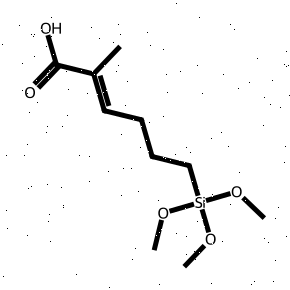 CO[Si](CCC/C=C(\C)C(=O)O)(OC)OC